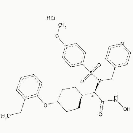 CCc1ccccc1O[C@H]1CC[C@H]([C@H](C(=O)NO)N(Cc2ccncc2)S(=O)(=O)c2ccc(OC)cc2)CC1.Cl